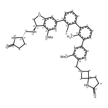 COc1nc(-c2cccc(-c3cccc(-c4cc5c(c(OC)n4)[C@@H](NC[C@@H]4CCC(=O)N4)CO5)c3F)c2C)cnc1CN1CC2(CCC(=O)N2)C1